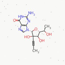 CC#CC1(O)C(O)[C@@H]([C@@H](C)O)O[C@H]1n1cnc2c(=O)[nH]c(N)nc21